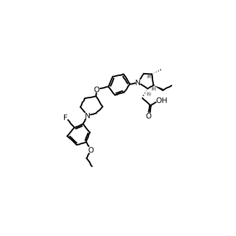 CCOc1ccc(F)c(N2CCC(Oc3ccc(N4C[C@H](C)[C@@H](CC)[C@@H]4CC(=O)O)cc3)CC2)c1